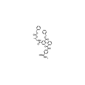 CC(CNC(=O)c1ccc(-c2ccccc2C(=O)Nc2ccc(C(=N)N)cc2)c(C(=O)OCc2ccccc2)c1)OC(=O)OCc1ccccc1